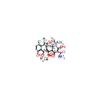 C=C1c2c(Cl)ccc(O)c2C(=O)C2=C(O)[C@]3(O)C(=O)C(C(N)=O)=C(O)[C@@H](N(C)C)[C@H]3[C@@H](O)[C@H]12.[CaH2]